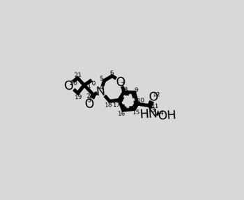 CC1(C(=O)N2CCOc3cc(C(=O)NO)ccc3C2)COC1